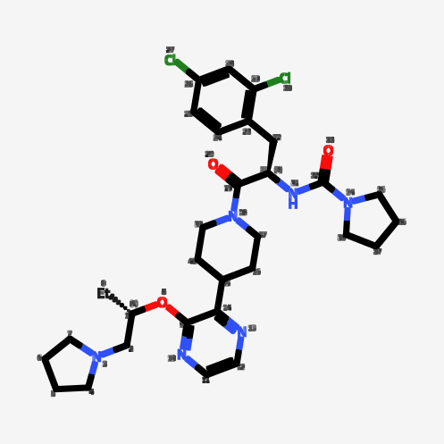 CC[C@@H](CN1CCCC1)Oc1nccnc1C1CCN(C(=O)[C@@H](Cc2ccc(Cl)cc2Cl)NC(=O)N2CCCC2)CC1